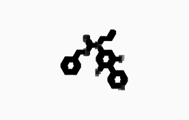 C=CCN(C(=O)OCc1ccccc1)c1cc(F)c(-c2ccncc2)c(F)c1